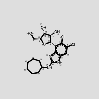 OC[C@@H]1O[C@@H](c2c(Cl)c(Cl)cc3[nH]c(NC4CCCCCC4)nc23)[C@H](O)[C@H]1O